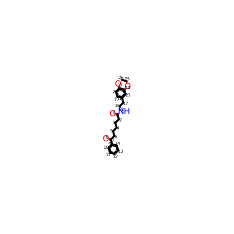 O=C(CCCCCC(=O)c1ccccc1)NCCc1ccc2c(c1)OCCO2